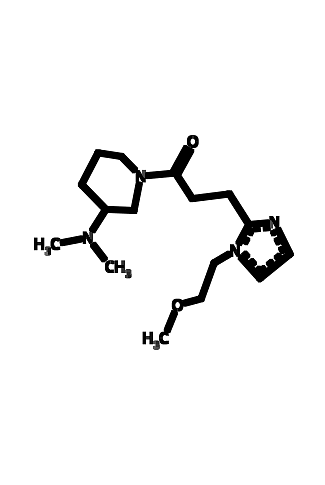 COCCn1ccnc1CCC(=O)N1CCCC(N(C)C)C1